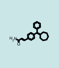 NC(=O)/C=C/c1ccc(C(=C2CCCCCC2)c2ccccc2)cc1